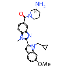 COc1ccc2cc(-c3nc4cc(C(=O)N5CCC[C@@H](N)C5)ccc4n3C)n(CC3CC3)c2c1